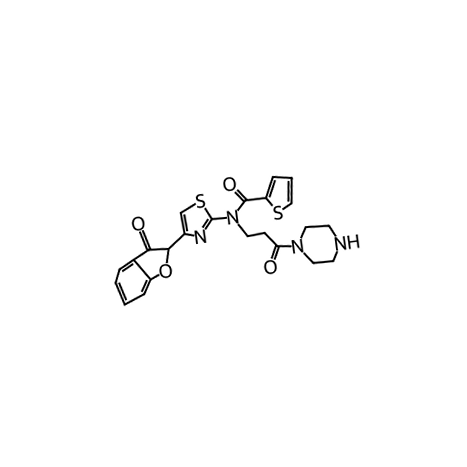 O=C1c2ccccc2OC1c1csc(N(CCC(=O)N2CCNCC2)C(=O)c2cccs2)n1